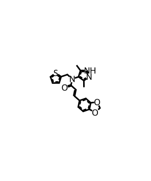 Cc1n[nH]c(C)c1N(Cc1cccs1)C(=O)C=Cc1ccc2c(c1)OCO2